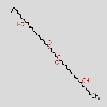 CCCCCCC(O)CC=CCCCCCCCC(=O)OCCCCOC(=O)CCCCCCCC=CCC(O)CCCCCC